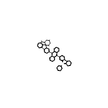 CCC1CC(C)CC(C)C12c1ccccc1-c1ccc(-c3c4ccccc4c(-c4ccc5c6ccccc6n(-c6ccccc6)c5c4)c4ccccc34)cc12